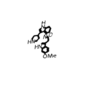 COc1ccc2c(Cc3nc4c(ccc5[nH]cc(C6CCNCC6)c54)o3)c[nH]c2c1